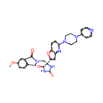 COc1ccc2c(c1)C(=O)N(C[C@@]1(c3cc4nc(N5CCN(c6ccncc6)CC5)ccc4o3)NC(=O)NC1=O)C2